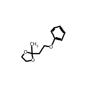 CC1(CCOc2cc[c]cc2)OCCO1